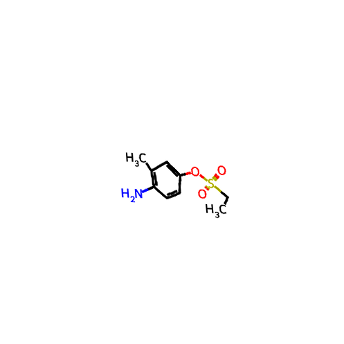 CCS(=O)(=O)Oc1ccc(N)c(C)c1